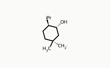 [CH2][C@]1(C)CC[C@@H](C(C)C)[C@H](O)C1